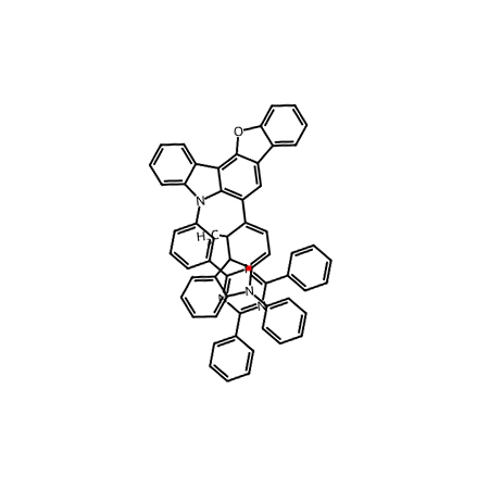 CC1C(c2cc3c4ccccc4oc3c3c4ccccc4n(-c4cccc(-c5nc(-c6ccccc6)nc(-c6ccccc6)n5)c4)c23)=CC=C2C1c1ccccc1N2c1ccccc1